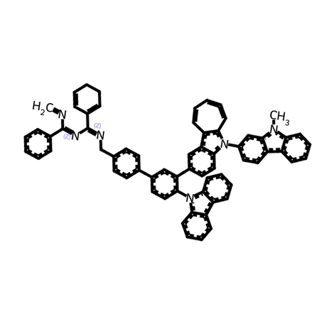 C=N/C(=N\C(=N/Cc1ccc(-c2ccc(-n3c4ccccc4c4ccccc43)c(-c3ccc4c(c3)c3c(n4-c4ccc5c6ccccc6n(C)c5c4)C=C=CC=C3)c2)cc1)C1=CCCC=C1)c1ccccc1